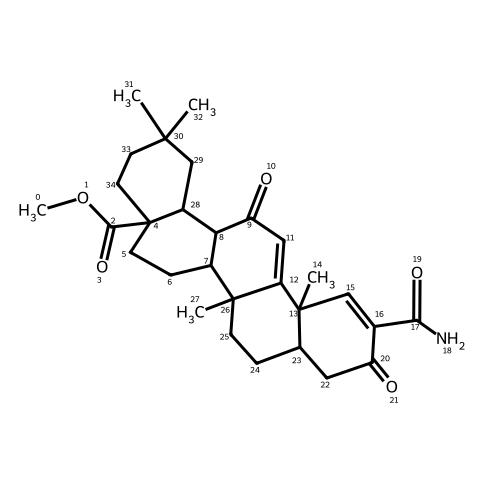 COC(=O)C12CCC3C(C(=O)C=C4C5(C)C=C(C(N)=O)C(=O)CC5CCC43C)C1CC(C)(C)CC2